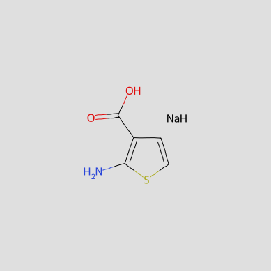 Nc1sccc1C(=O)O.[NaH]